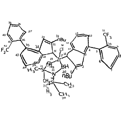 CCCCC1=Cc2c(-c3ccccc3C(F)(F)F)cccc2[CH]1[Zr]([Cl])([Cl])([BH]N([Si](C)(C)C)[Si](C)(C)C)[CH]1C(CCCC)=Cc2c(-c3ccccc3C(F)(F)F)cccc21